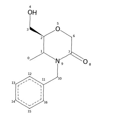 CC1[C@@H](CO)OCC(=O)N1Cc1ccccc1